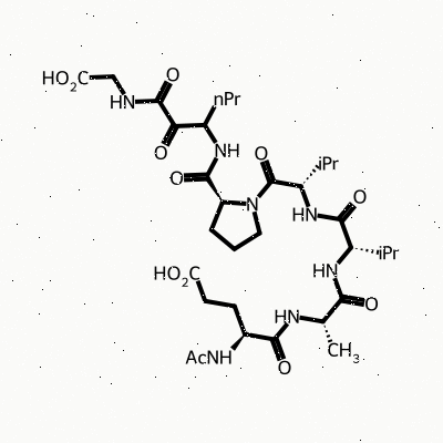 CCCC(NC(=O)[C@@H]1CCCN1C(=O)[C@@H](NC(=O)[C@@H](NC(=O)[C@H](C)NC(=O)[C@H](CCC(=O)O)NC(C)=O)C(C)C)C(C)C)C(=O)C(=O)NCC(=O)O